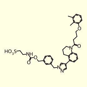 Cc1cccc(OCCCC(=O)N2CCCc3c(-c4cnn(Cc5cccc(COC(=O)NCCS(=O)(=O)O)c5)c4)cccc32)c1C